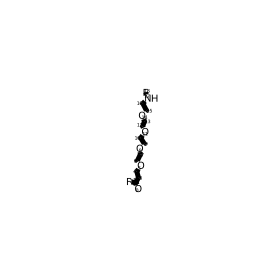 O=C(F)CCOCCOCCOCCOCCNF